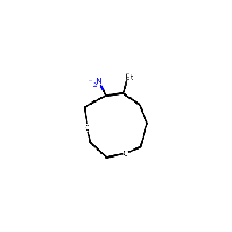 CCC1CCCCCCCCC1N